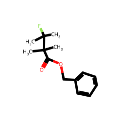 CC(C)(F)C(C)(C)C(=O)OCc1ccccc1